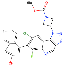 CC(C)(C)OC(=O)N1CC(n2nnc3cnc4c(F)c(-c5cc(O)cc6ccccc56)c(Cl)cc4c32)C1